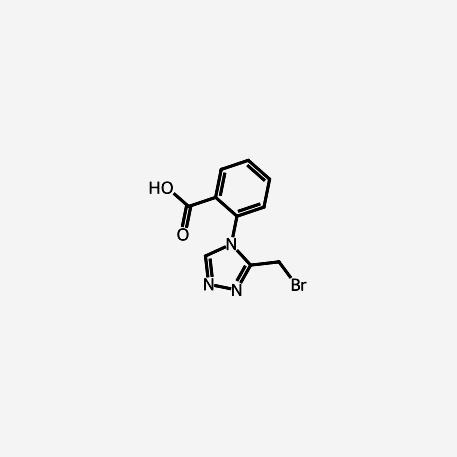 O=C(O)c1ccccc1-n1cnnc1CBr